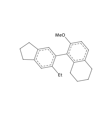 CCc1cc2c(cc1-c1c(OC)ccc3c1CCCC3)CCC2